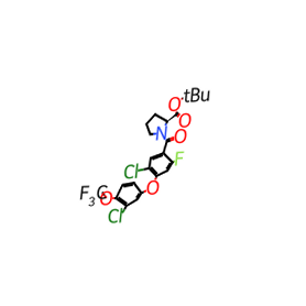 CC(C)(C)OC(=O)[C@@H]1CCCN1C(=O)c1cc(Cl)c(Oc2ccc(OC(F)(F)F)c(Cl)c2)cc1F